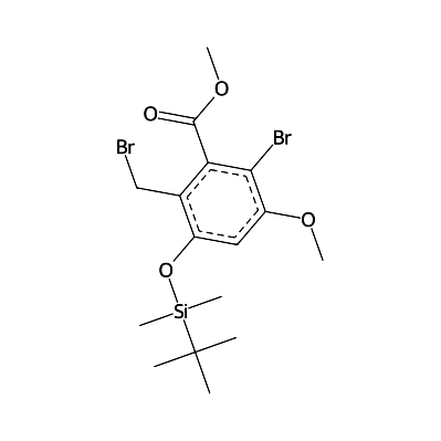 COC(=O)c1c(Br)c(OC)cc(O[Si](C)(C)C(C)(C)C)c1CBr